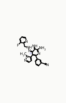 Cn1nccc1C1=C(c2cccc(C#N)c2)N=C(N)C(=N)/C1=N\NCc1ncccc1F